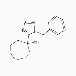 OC1(c2nnnn2Cc2ccccc2)CCCCCC1